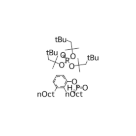 CC(C)(C)CC(C)(C)OP(=O)(OC(C)(C)CC(C)(C)C)OC(C)(C)CC(C)(C)C.CCCCCCCCc1cccc(O[PH2]=O)c1CCCCCCCC